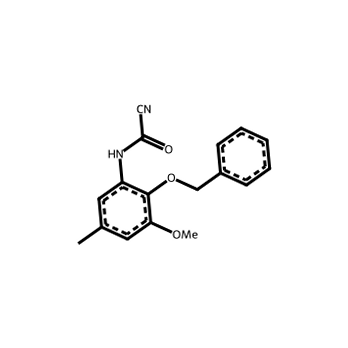 COc1cc(C)cc(NC(=O)C#N)c1OCc1ccccc1